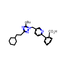 CCCCc1nc(CCC2CCCCC2)nn1Cc1ccc(-c2ccccc2C(=O)O)nc1